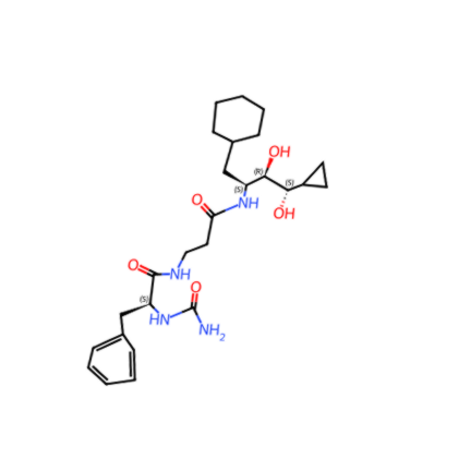 NC(=O)N[C@@H](Cc1ccccc1)C(=O)NCCC(=O)N[C@@H](CC1CCCCC1)[C@@H](O)[C@@H](O)C1CC1